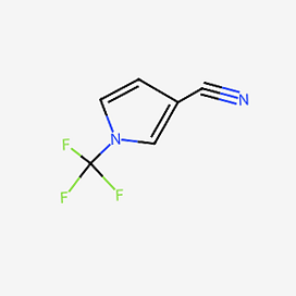 N#Cc1ccn(C(F)(F)F)c1